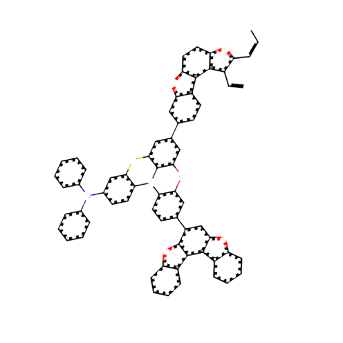 C=Cc1c(/C=C\C)oc2ccc3oc4cc(-c5cc6c7c(c5)Sc5cc(N(c8ccccc8)c8ccccc8)ccc5B7c5ccc(-c7cc8oc9ccccc9c8c8c7oc7ccccc78)cc5O6)ccc4c3c12